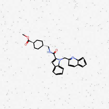 COC(=O)[C@H]1CC[C@H](CNC(=O)c2cc3ccccc3n2Cc2ccc3ccccc3n2)CC1